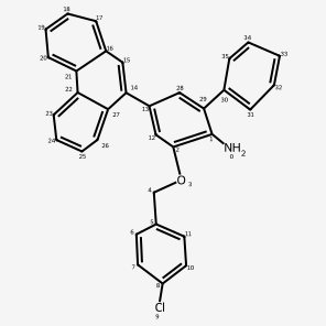 Nc1c(OCc2ccc(Cl)cc2)cc(-c2cc3ccccc3c3ccccc23)cc1-c1ccccc1